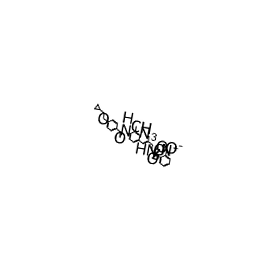 Cc1c(NC(=O)c2ccc(OCC3CC3)cc2)ccc2cc(CNS(=O)(=O)c3ccccc3[N+](=O)[O-])cnc12